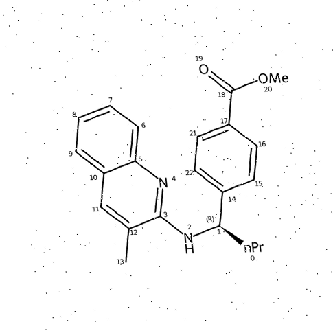 CCC[C@@H](Nc1nc2ccccc2cc1C)c1ccc(C(=O)OC)cc1